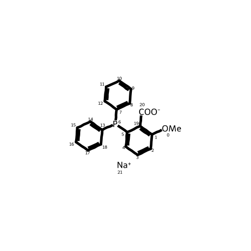 COc1cccc(P(c2ccccc2)c2ccccc2)c1C(=O)[O-].[Na+]